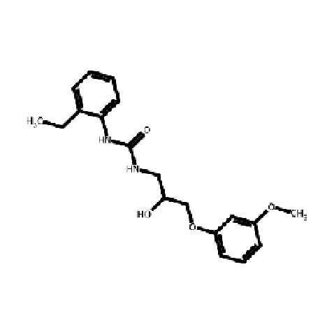 CCc1ccccc1NC(=O)NCC(O)COc1cccc(OC)c1